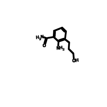 NC(=O)c1cccc(CCCO)c1N